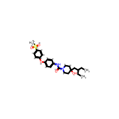 CCC(CC)CC1(O)CCN(C(=O)Nc2ccc(Oc3ccc(S(C)(=O)=O)cc3)cc2)CC1